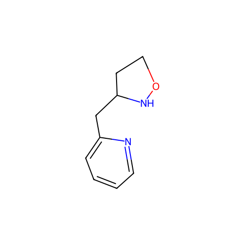 c1ccc(CC2CCON2)nc1